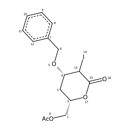 CC(=O)OC[C@@H]1C[C@H](OCc2ccccc2)C(I)C(=O)O1